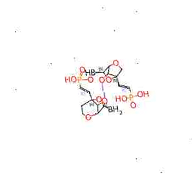 B[C@@H]1O[C@@]2(/C=C/P(=O)(O)OB[C@@H]3O[C@@]4(/C=C/P(=O)(O)O)COC3C4OI)CCOC1C2OI